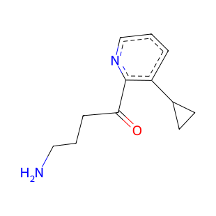 NCCCC(=O)c1ncccc1C1CC1